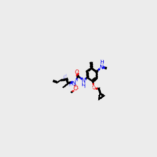 C=C/C=C\C(C)=[N+](\OC)C(=O)NC1=CC(=C)C(NC)C=C1OCC1CC1